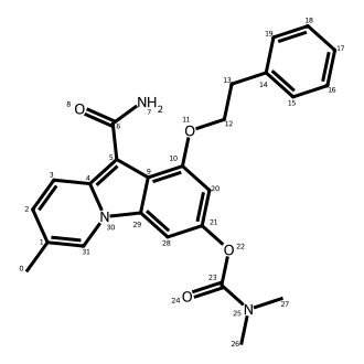 Cc1ccc2c(C(N)=O)c3c(OCCc4ccccc4)cc(OC(=O)N(C)C)cc3n2c1